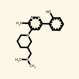 CN(C)CC1CCCN(c2cc(-c3ccccc3O)nnc2N)C1